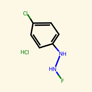 Cl.FNNc1ccc(Cl)cc1